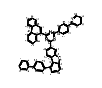 c1ccc(-c2ccc(-c3cccc4oc5cc(-c6nc(-c7ccc(-c8ccccn8)cc7)nc(-c7cc8ccccc8c8ccccc78)n6)ccc5c34)cc2)cc1